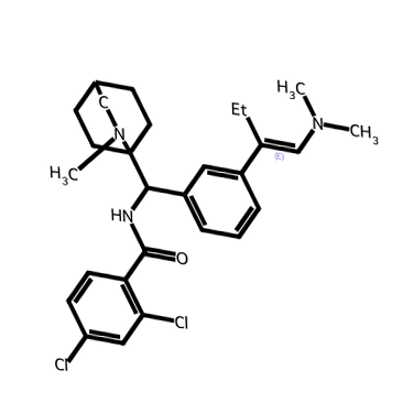 CC/C(=C\N(C)C)c1cccc(C(NC(=O)c2ccc(Cl)cc2Cl)C23CCC(CC2)CN3C)c1